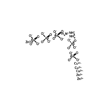 O=[As]([O-])([O-])[O-].O=[As]([O-])([O-])[O-].O=[As]([O-])([O-])[O-].O=[As]([O-])([O-])[O-].O=[As]([O-])([O-])[O-].[Cu+2].[Cu+2].[Cu+2].[NH4+].[NH4+].[NH4+].[Zn+2].[Zn+2].[Zn+2]